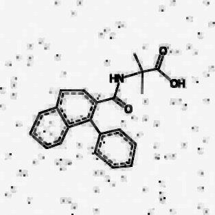 CC(C)(NC(=O)c1ccc2ccccc2c1-c1ccccc1)C(=O)O